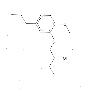 CCCc1ccc(OCC)c(OCC(O)CI)c1